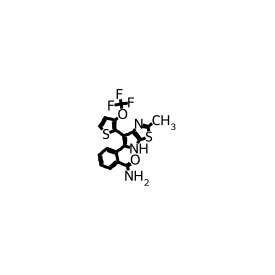 Cc1nc2c(-c3sccc3OC(F)(F)F)c(-c3ccccc3C(N)=O)[nH]c2s1